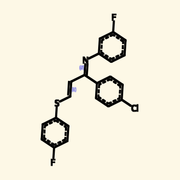 Fc1ccc(S/C=C/C(=N/c2cccc(F)c2)c2ccc(Cl)cc2)cc1